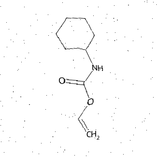 C=COC(=O)NC1CCCCC1